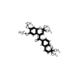 COc1cc2c(cc1OC)C(C(=O)c1ccc3c(c1)C=CC(C)(C)O3)=CC(C)(C)O2